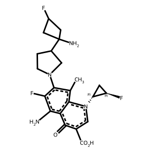 Cc1c(N2CCC(C3(N)CC(F)C3)C2)c(F)c(N)c2c(=O)c(C(=O)O)cn([C@@H]3C[C@H]3F)c12